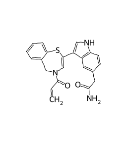 C=CC(=O)N1C=C(c2c[nH]c3ccc(CC(N)=O)cc23)Sc2ccccc2C1